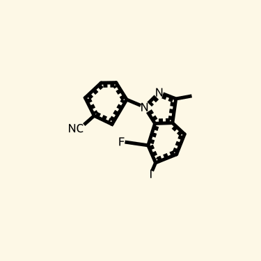 Cc1nn(-c2cccc(C#N)c2)c2c(F)c(I)ccc12